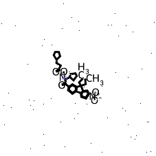 CCCC1(CCC)c2cc(C(=O)/C(=N/OC(=O)CCC3CCCC3)C3CCCC3)ccc2-c2ccc([N+](=O)[O-])cc21